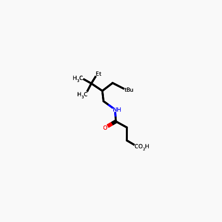 CCC(C)(C)C(CNC(=O)CCC(=O)O)CC(C)(C)C